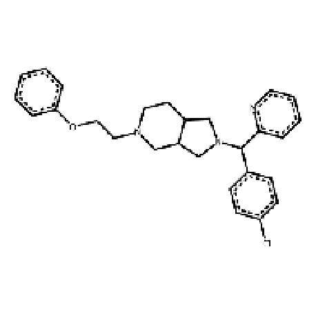 Clc1ccc(C(c2ccccn2)N2CC3CCN(CCOc4ccccc4)CC3C2)cc1